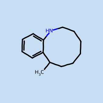 CC1CCCCCCNc2ccccc21